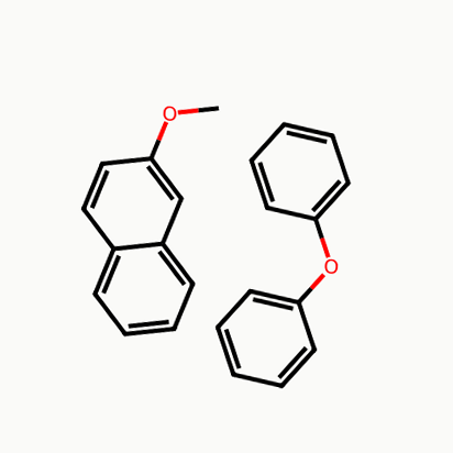 COc1ccc2ccccc2c1.c1ccc(Oc2ccccc2)cc1